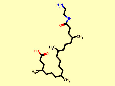 CC(CCCCC(C)CCCC(C)CCC(=O)NCCN)CCCC(C)CCC(=O)O